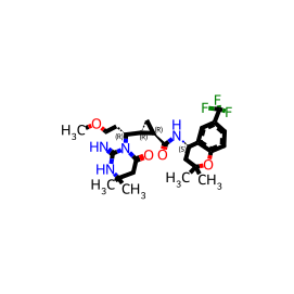 COCC[C@H]([C@@H]1C[C@H]1C(=O)N[C@H]1CC(C)(C)Oc2ccc(C(F)(F)F)cc21)N1C(=N)NC(C)(C)CC1=O